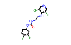 O=C(NCCNc1c(Cl)cncc1Cl)Nc1ccc(F)c(F)c1